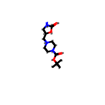 CC(C)(C)OC(=O)N1CCN(CC2CNC(=O)O2)CC1